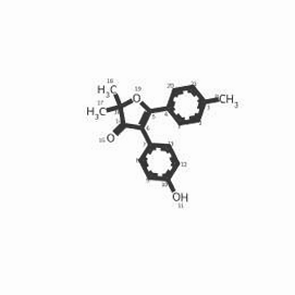 Cc1ccc(C2=C(c3ccc(O)cc3)C(=O)C(C)(C)O2)cc1